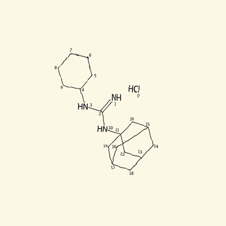 Cl.N=C(NC1CCCCC1)NC12CC3CC(CC(C3)C1)C2